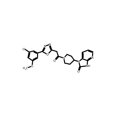 COc1cc(Cl)cc(-c2nnc(CC(=O)N3CCC(n4c(=O)[nH]c5ncccc54)CC3)o2)c1